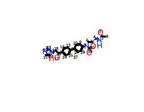 CC(=O)NC[C@H]1CN(c2ccc(-c3ccc([C@H](O)Cn4ccnn4)cc3)c(F)c2)C(=O)O1